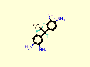 Nc1ccc(C(F)(c2ccc(N)c(N)c2)C(F)(F)C(F)(F)F)cc1N